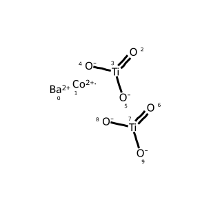 [Ba+2].[Co+2].[O]=[Ti]([O-])[O-].[O]=[Ti]([O-])[O-]